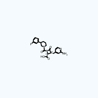 Nc1cc(C[C@H]2C(=O)N(C(=O)N3CCCC(c4cccc(F)c4)C3)[C@@H]2C(=O)O)ccn1